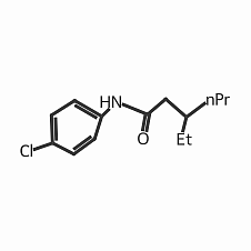 CCCC(CC)CC(=O)Nc1ccc(Cl)cc1